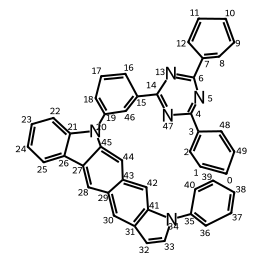 c1ccc(-c2nc(-c3ccccc3)nc(-c3cccc(-n4c5ccccc5c5cc6cc7ccn(-c8ccccc8)c7cc6cc54)c3)n2)cc1